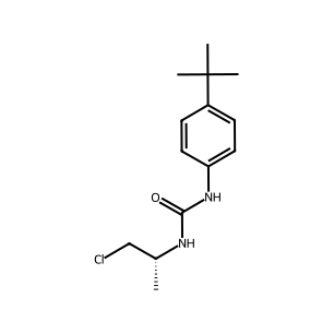 C[C@H](CCl)NC(=O)Nc1ccc(C(C)(C)C)cc1